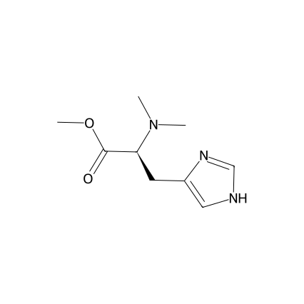 COC(=O)[C@H](Cc1c[nH]cn1)N(C)C